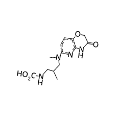 CC(CNC(=O)O)CN(C)c1ccc2c(n1)NC(=O)CO2